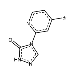 O=c1[nH]ncn1-c1cc(Br)ccn1